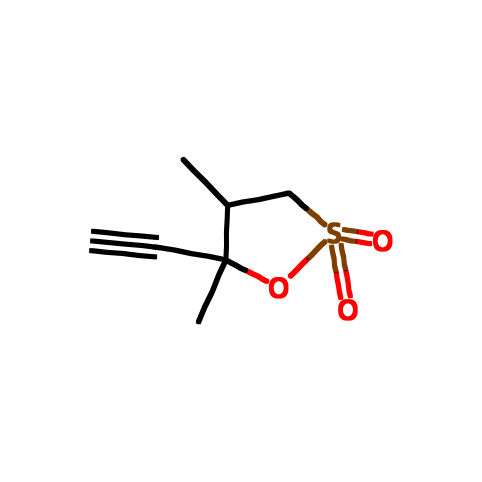 C#CC1(C)OS(=O)(=O)CC1C